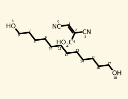 N#CC=C(C#N)C(=O)O.OCCCCCCCCCCCCO